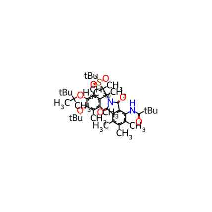 Cc1c(C)c(NC(=O)C(C)(C)C)c2c(c1C)C(=O)N([C@](C)(c1c(C)c(C)c(OC(C)(C)C)c(OC(C)(C)C(C)(C)C)c1C)C(C)(C)S(=O)(=O)C(C)(C)C)C2=O